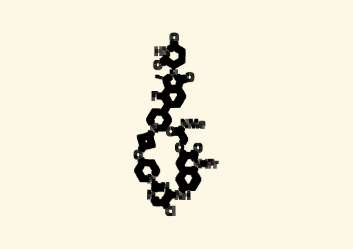 CNC(=O)COc1cc2cc(Nc3nc(N4CCC(OC5CC(N6CCC(c7ccc8c(c7F)[C@H](C)N([C@H]7CCC(=O)NC7=O)C8=O)CC6)C5)CC4)ncc3Cl)ccc2n(C(C)C)c1=O